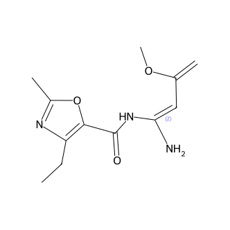 C=C(/C=C(/N)NC(=O)c1oc(C)nc1CC)OC